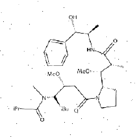 CC[C@H](C)[C@@H]([C@@H](CC(=O)N1CCC[C@H]1[C@H](OC)[C@@H](C)C(=O)N[C@H](C)[C@@H](O)c1ccccc1)OC)N(C)C(=O)C(C)C